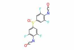 O=C=Nc1c(F)cc([S+]([O-])c2cc(F)c(N=C=O)c(F)c2)cc1F